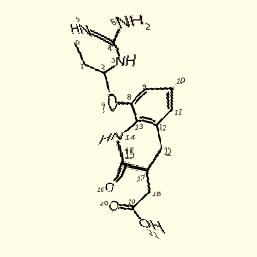 CCC(NC(=N)N)Oc1cccc2c1NC(=O)C(CC(=O)O)C2